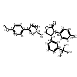 COc1ccc(-c2nnn(C[C@@H]3OC(=O)N(c4ccc(Cl)cc4)[C@H]3c3cccc(C(F)(F)F)c3)n2)cn1